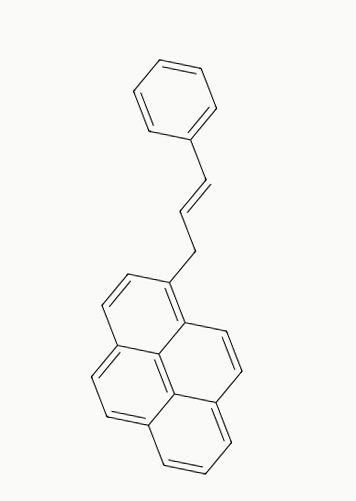 C(=Cc1ccccc1)Cc1ccc2ccc3cccc4ccc1c2c34